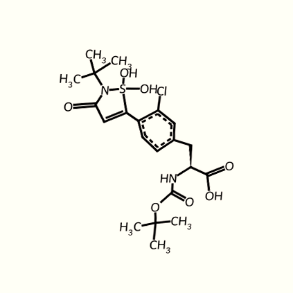 CC(C)(C)OC(=O)N[C@@H](Cc1ccc(C2=CC(=O)N(C(C)(C)C)S2(O)O)c(Cl)c1)C(=O)O